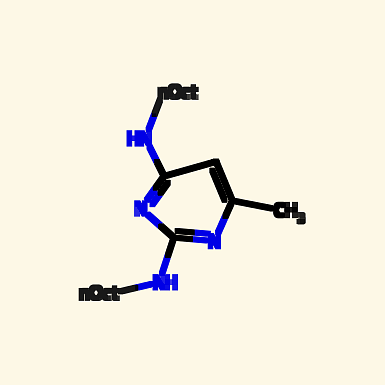 CCCCCCCCNc1cc(C)nc(NCCCCCCCC)n1